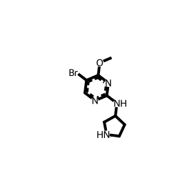 COc1nc(NC2CCNC2)ncc1Br